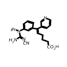 CC(C)N(C(N)=NC#N)c1cccc(C(=CCCCC(=O)O)c2cccnc2)c1